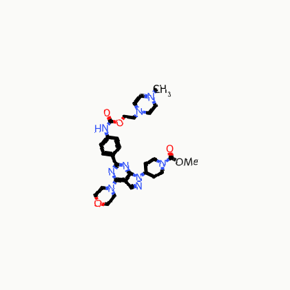 COC(=O)N1CCC(n2ncc3c(N4CCOCC4)nc(-c4ccc(NC(=O)OCCN5CCN(C)CC5)cc4)nc32)CC1